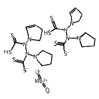 S=C(S)N(N1C=CCC1)N(C(=S)[S-])N1CCCC1.S=C(S)N(N1C=CCC1)N(C(=S)[S-])N1CCCC1.[O]=[Mo+2]=[O]